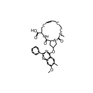 COc1cc2nc(-c3ccccc3)nc(OC3CC4C(=O)NC(C(=O)O)CCC=CCCCCN(C)C(=O)[N+]4C3)c2cc1C